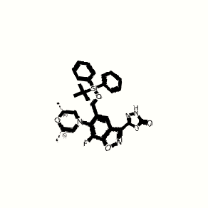 C[C@@H]1CN(c2c(CO[Si](c3ccccc3)(c3ccccc3)C(C)(C)C)cc3c(-c4n[nH]c(=O)o4)noc3c2F)C[C@H](C)O1